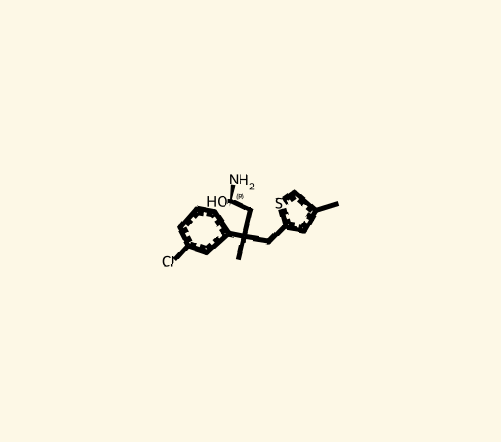 Cc1csc(CC(C)(C[C@H](N)O)c2cccc(Cl)c2)c1